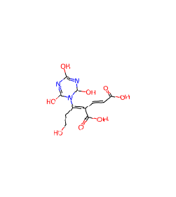 O=C(O)C=CC(C(=O)O)=C(CCO)N1C(O)=NC(O)=NC1O